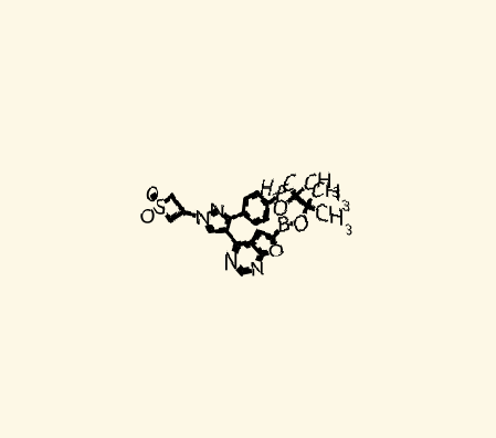 CC1(C)OB(c2cc3c(-c4cn(C5CS(=O)(=O)C5)nc4-c4ccc(F)cc4)ncnc3o2)OC1(C)C